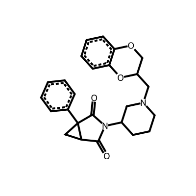 O=C1C2CC2(c2ccccc2)C(=O)N1C1CCCN(CC2COc3ccccc3O2)C1